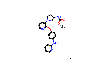 CC(C)(C)OC(=O)NC1CCN(c2cccnc2Oc2ccc(Nc3ccccn3)cc2)C1